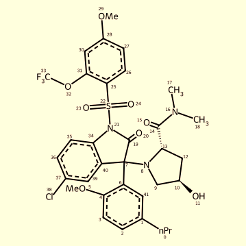 CCCc1ccc(OC)c(C2(N3C[C@H](O)C[C@H]3C(=O)N(C)C)C(=O)N(S(=O)(=O)c3ccc(OC)cc3OC(F)(F)F)c3ccc(Cl)cc32)c1